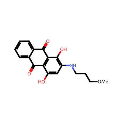 COCCCNc1cc(O)c2c(c1O)C(=O)c1ccccc1C2=O